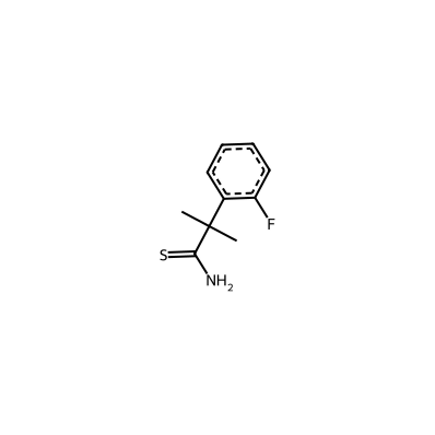 CC(C)(C(N)=S)c1ccccc1F